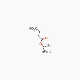 CCCCCC(CC)OC(=O)CCC(=O)O